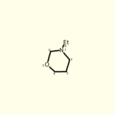 CCN1CCCOC1